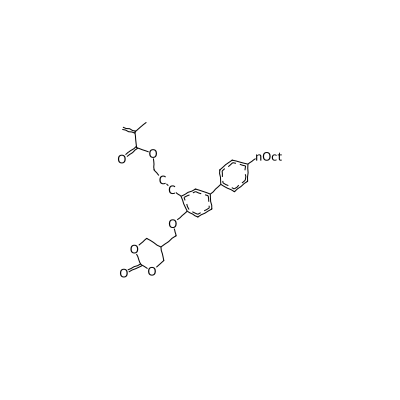 C=C(C)C(=O)OCCCc1cc(-c2ccc(CCCCCCCC)cc2)ccc1OCC1COC(=O)OC1